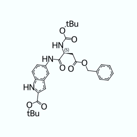 CC(C)(C)OC(=O)N[C@@H](CC(=O)OCc1ccccc1)C(=O)Nc1ccc2[nH]c(C(=O)OC(C)(C)C)cc2c1